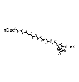 CCCCCCCCCCCCCCCCCCCCCCCCCCCCCC(CCCCCC)S(C)(=O)=O